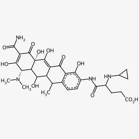 CC1c2ccc(NC(=O)C(CCC(=O)O)NC3CC3)c(O)c2C(=O)C2=C(O)[C@]3(O)C(=O)C(C(N)=O)=C(O)[C@@H](N(C)C)C3C(O)C21